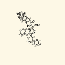 CC(C)(C)C(NC(=O)c1cc2cc(C(F)(F)P(=O)(O)O)ccc2s1)C(=O)N1Cc2ccccc2C[C@H]1C(=O)N1CCOC(c2ccc(F)cc2)C1